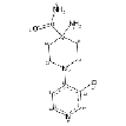 NC(=O)C1(N)CCN(c2ccncc2Cl)CC1